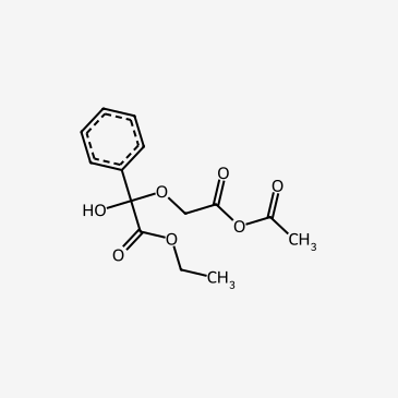 CCOC(=O)C(O)(OCC(=O)OC(C)=O)c1ccccc1